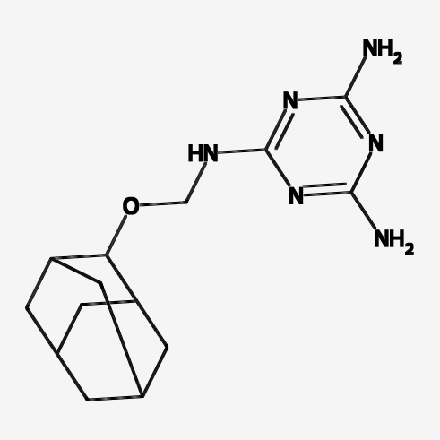 Nc1nc(N)nc(NCOC2C3CC4CC(C3)CC2C4)n1